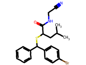 CC(C)CC(SC(c1ccccc1)c1ccc(Br)cc1)C(=O)NCC#N